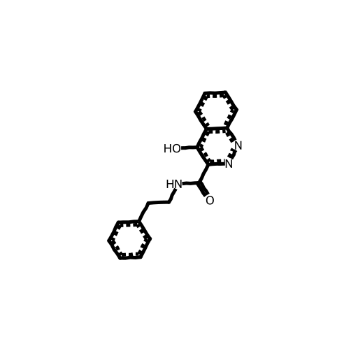 O=C(NCCc1ccccc1)c1nnc2ccccc2c1O